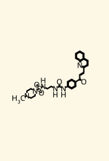 CN1CCN(S(=O)(=O)NCCNC(=O)Nc2ccc(C(=O)C=Cc3ccc4ccccc4n3)cc2)CC1